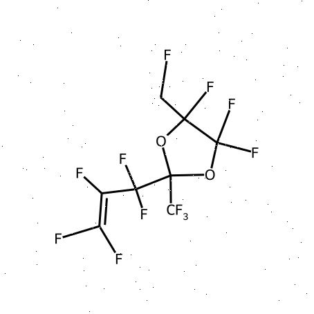 FCC1(F)OC(C(F)(F)F)(C(F)(F)C(F)=C(F)F)OC1(F)F